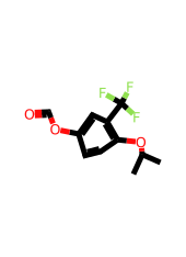 CC(C)Oc1ccc(OC=O)cc1C(F)(F)F